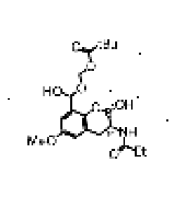 CCC(=O)N[C@H]1Cc2cc(OC)cc(C(O)OCOC(=O)C(C)(C)C)c2OB1O